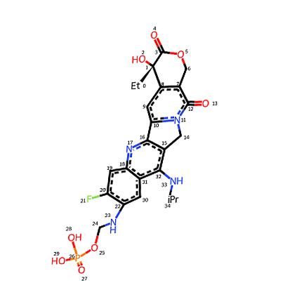 CC[C@@]1(O)C(=O)OCc2c1cc1n(c2=O)Cc2c-1nc1cc(F)c(NCOP(=O)(O)O)cc1c2NC(C)C